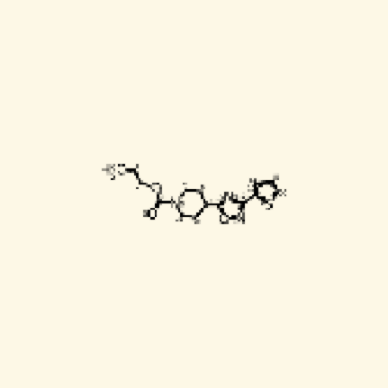 C=CCOC(=O)N1CCC(c2nc(-c3cccs3)no2)CC1